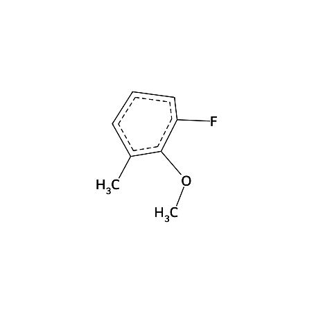 COc1c(C)cccc1F